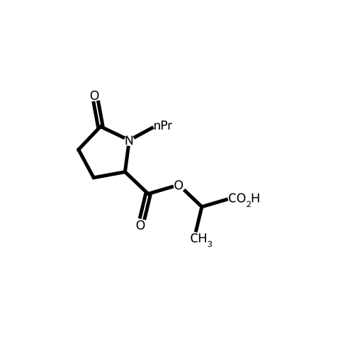 CCCN1C(=O)CCC1C(=O)OC(C)C(=O)O